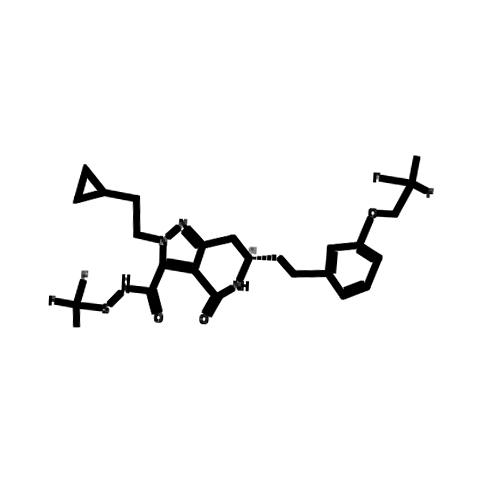 CC(F)(F)COc1cccc(CC[C@H]2Cc3nn(CCC4CC4)c(C(=O)NSC(C)(F)F)c3C(=O)N2)c1